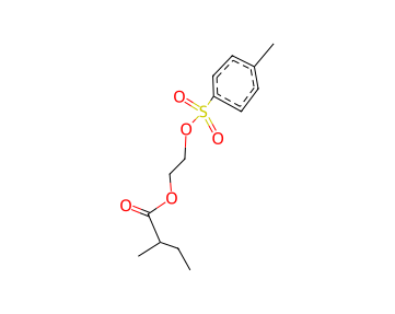 CCC(C)C(=O)OCCOS(=O)(=O)c1ccc(C)cc1